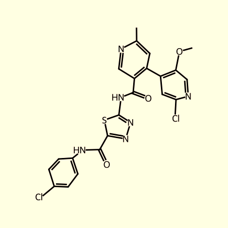 COc1cnc(Cl)cc1-c1cc(C)ncc1C(=O)Nc1nnc(C(=O)Nc2ccc(Cl)cc2)s1